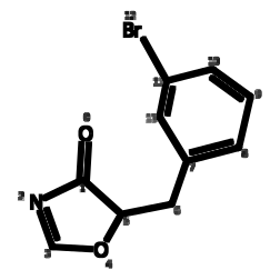 O=C1N=COC1Cc1cccc(Br)c1